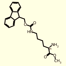 COC(=O)[C@H](N)CCCCNC(=O)OCC1c2ccccc2-c2ccccc21